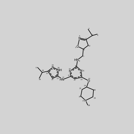 CC(C)C1=NOC(CNc2nc(Nc3cc(C(C)C)n[nH]3)cc(OC3CCN(C)CC3)n2)C1